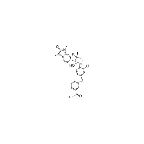 C[C@H](c1ccc(Oc2cccc(C(=O)O)c2)cc1Cl)[C@@](O)(c1ccc2c(c1)n(C)c(=O)n2C)C(F)(F)F